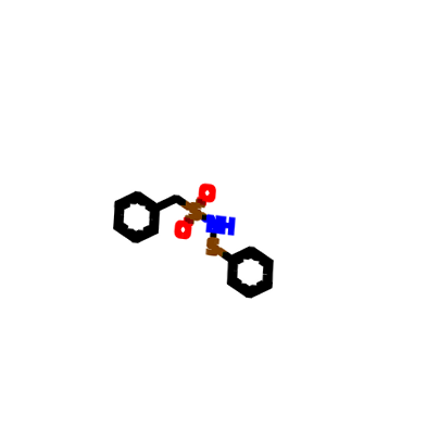 O=S(=O)(Cc1ccccc1)NSc1ccccc1